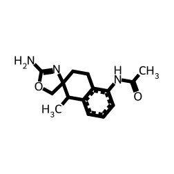 CC(=O)Nc1cccc2c1CCC1(COC(N)=N1)C2C